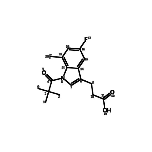 CC(C)(C)C(=O)n1cc(CCC(=O)O)c2cc(F)cc(F)c21